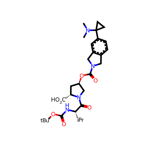 CC(C)[C@H](NC(=O)OC(C)(C)C)C(=O)N1C[C@H](OC(=O)N2Cc3ccc(C4(N(C)C)CC4)cc3C2)C[C@H]1C(=O)O